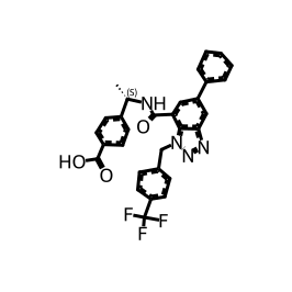 C[C@H](NC(=O)c1cc(-c2ccccc2)cc2nnn(Cc3ccc(C(F)(F)F)cc3)c12)c1ccc(C(=O)O)cc1